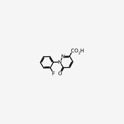 O=C(O)c1ccc(=O)n(-c2ccccc2F)n1